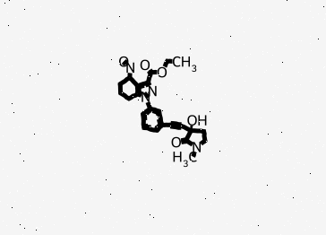 CCOC(=O)c1nn(-c2cccc(C#C[C@]3(O)CCN(C)C3=O)c2)c2c1C(N=O)CCC2